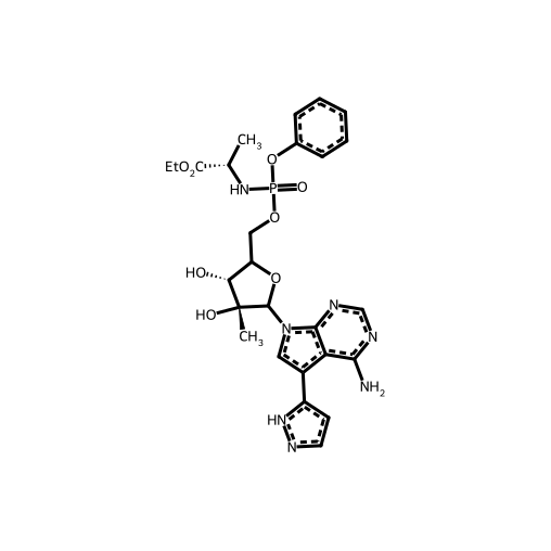 CCOC(=O)[C@H](C)NP(=O)(OCC1OC(n2cc(-c3ccn[nH]3)c3c(N)ncnc32)[C@](C)(O)[C@@H]1O)Oc1ccccc1